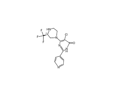 O=c1[nH]c(-c2ccncc2)nc(N2CCN[C@H](C(F)(F)F)C2)c1Cl